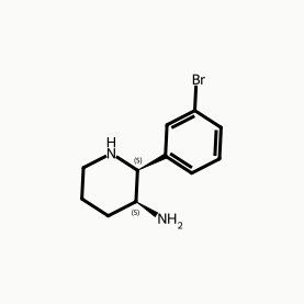 N[C@H]1CCCN[C@H]1c1cccc(Br)c1